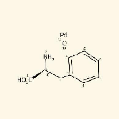 N[C@@H](Cc1ccccc1)C(=O)O.[C].[Pd]